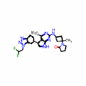 COc1nc(NC2CC(C)(N3CCCC3=O)C2)nc2[nH]cc(-c3ccc4nnn(CC(F)F)c4c3)c12